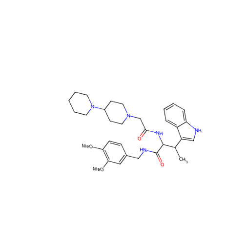 COc1ccc(CNC(=O)C(NC(=O)CN2CCC(N3CCCCC3)CC2)C(C)c2c[nH]c3ccccc23)cc1OC